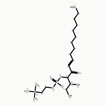 CCCCCCCCCCCCCCCCCCC=CC(=O)C(OP(=O)([O-])OCC[N+](C)(C)C)[C@@H](O)CO